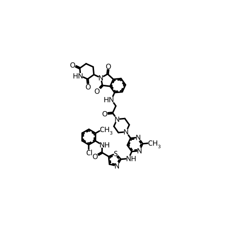 Cc1nc(Nc2ncc(C(=O)Nc3c(C)cccc3Cl)s2)cc(N2CCN(C(=O)CNc3cccc4c3C(=O)N(C3CCC(=O)NC3=O)C4=O)CC2)n1